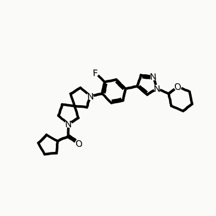 O=C(C1CCCC1)N1CCC2(CCN(c3ccc(-c4cnn(C5CCCCO5)c4)cc3F)C2)C1